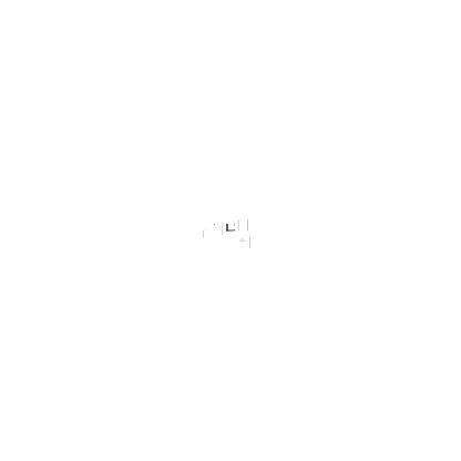 B.[AlH3].[Er].[InH3]